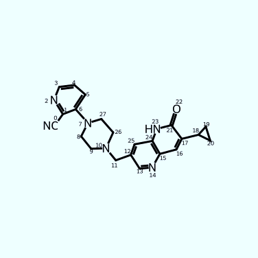 N#Cc1ncccc1N1CCN(Cc2cnc3cc(C4CC4)c(=O)[nH]c3c2)CC1